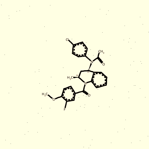 COc1ccc(C(=O)N2c3ccccc3[C@H](N(C(C)=O)c3ccc(Cl)cc3)C[C@@H]2C)cc1F